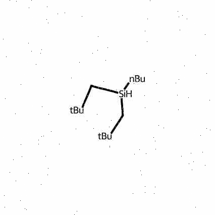 CCCC[SiH](CC(C)(C)C)CC(C)(C)C